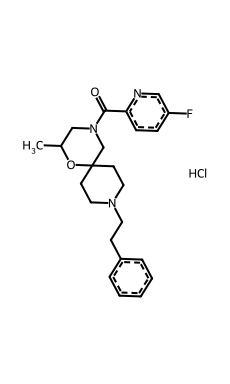 CC1CN(C(=O)c2ccc(F)cn2)CC2(CCN(CCc3ccccc3)CC2)O1.Cl